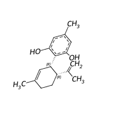 C=C(C)[C@@H]1CCC(C)=C[C@@H]1c1c(O)cc(C)cc1O